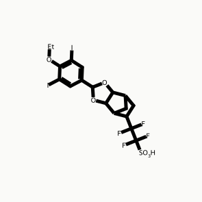 CCOc1c(I)cc(C2OC3C4CC(C3O2)C(C(F)(F)C(F)(F)S(=O)(=O)O)C4)cc1I